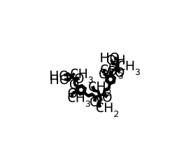 C=CCC(CC=C)(C(=O)/C=C/c1ccc(OC(=O)C(C)(CO)CO)c(OC)c1)C(=O)/C=C/c1ccc(OC(=O)C(C)(CO)CO)c(OC)c1